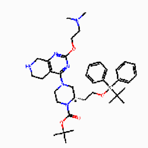 CN(C)CCOc1nc2c(c(N3CCN(C(=O)OC(C)(C)C)[C@@H](CCO[Si](c4ccccc4)(c4ccccc4)C(C)(C)C)C3)n1)CCNC2